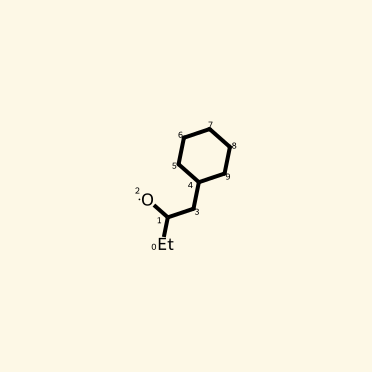 CCC([O])CC1CCCCC1